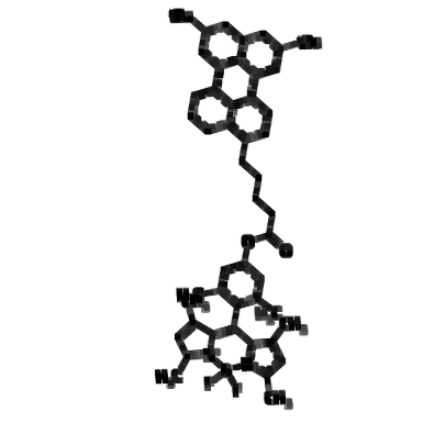 CC1=CC(C)=[N+]2C1=C(c1c(C)cc(OC(=O)CCCCc3ccc4c5cc(C(C)(C)C)cc6cc(C(C)(C)C)cc(c7cccc3c74)c65)cc1C)c1c(C)cc(C)n1[B-]2(F)F